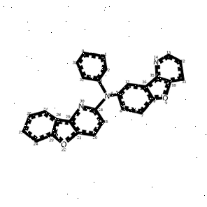 c1ccc(N(c2ccc3oc4cccnc4c3c2)c2ccc3oc4ccccc4c3n2)cc1